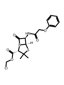 CC1(C)S[C@@H]2[C@H](NC(=O)COc3ccccc3)C(=O)N2[C@H]1C(=O)OCCl